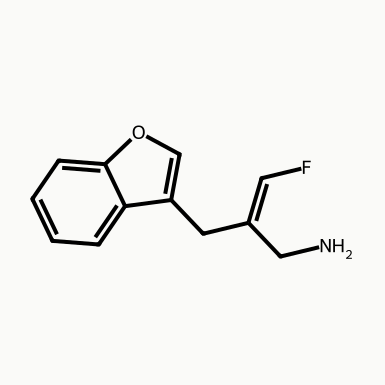 NCC(=CF)Cc1coc2ccccc12